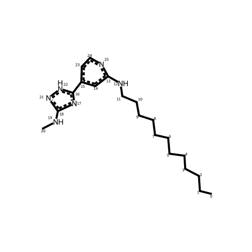 CCCCCCCCCCCCNc1cc(-c2nc(NC)n[nH]2)ccn1